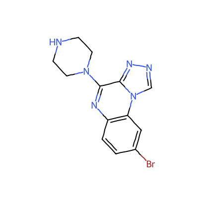 Brc1ccc2nc(N3CCNCC3)c3nncn3c2c1